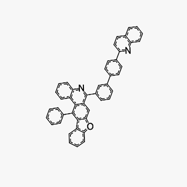 c1ccc(-c2c3c(cc4c(-c5cccc(-c6ccc(-c7ccc8ccccc8n7)cc6)c5)nc5ccccc5c24)oc2ccccc23)cc1